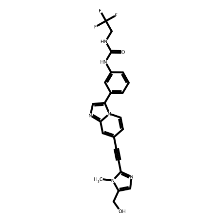 Cn1c(CO)cnc1C#Cc1ccn2c(-c3cccc(NC(=O)NCC(F)(F)F)c3)cnc2c1